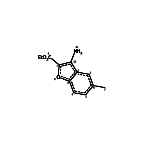 CCOC(=O)c1oc2ccc(C)cc2c1N